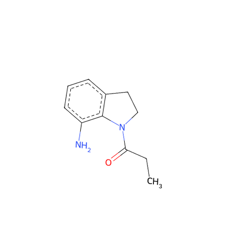 CCC(=O)N1CCc2cccc(N)c21